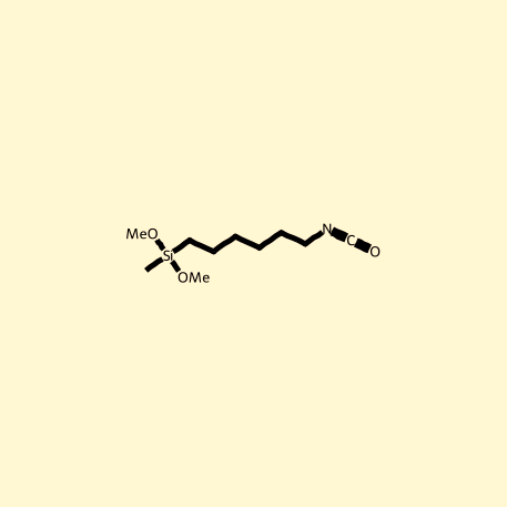 CO[Si](C)(CCCCCCN=C=O)OC